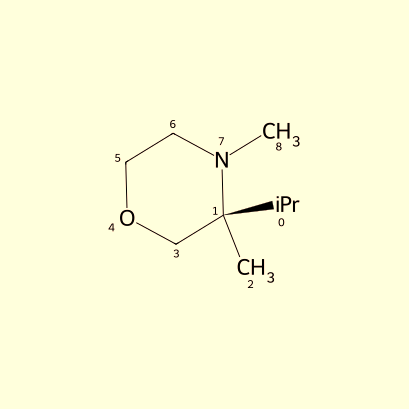 CC(C)[C@@]1(C)COCCN1C